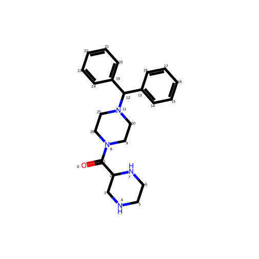 O=C(C1CNCCN1)N1CCN(C(c2ccccc2)c2ccccc2)CC1